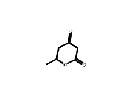 CC1CC(=O)CC(=O)O1